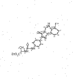 CCOC(=O)C(C)NC(=O)Nc1ccc(-n2nc3c4cccc(F)c4[nH]cc-3c2=O)cc1